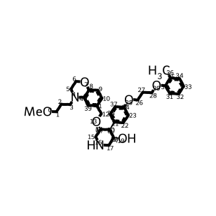 COCCCN1CCOc2ccc(CO[C@H]3CNC[C@@H](O)[C@@H]3c3ccc(OCCCOc4ccccc4C)cc3)cc21